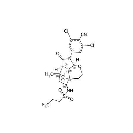 C[C@@]12C[C@H](NS(=O)(=O)CCC(F)(F)F)[C@]3(CCO[C@H]4[C@@H]3[C@@H]1C(=O)N4c1cc(Cl)c(C#N)c(Cl)c1)O2